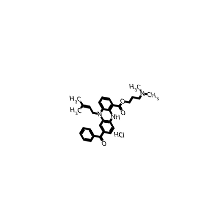 CC(C)=CCN1c2cc(C(=O)c3ccccc3)ccc2Nc2c(C(=O)OCCCN(C)C)cccc21.Cl